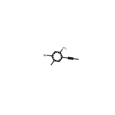 CC#Cc1cc(C)c(C(C)(C)C)cc1P